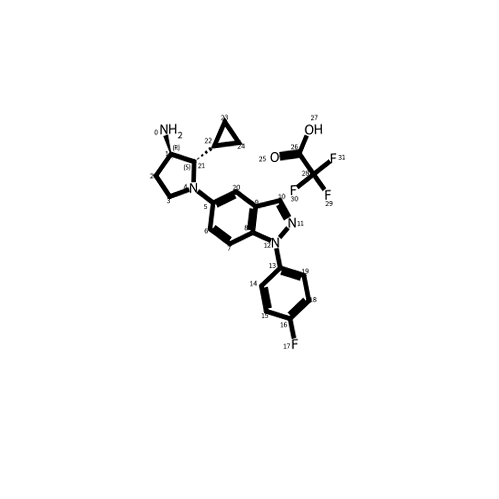 N[C@@H]1CCN(c2ccc3c(cnn3-c3ccc(F)cc3)c2)[C@H]1C1CC1.O=C(O)C(F)(F)F